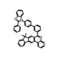 CC1(C)c2ccccc2-c2cc3c(cc21)c(-c1cccc(-c2ccc(-n4c(-c5ccccc5)nc5ccccc54)cc2)c1)nc1ccccc13